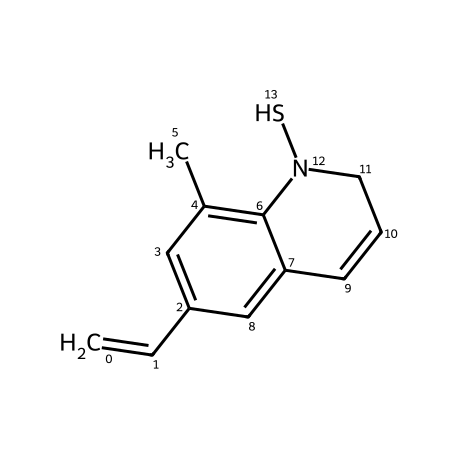 C=Cc1cc(C)c2c(c1)C=CCN2S